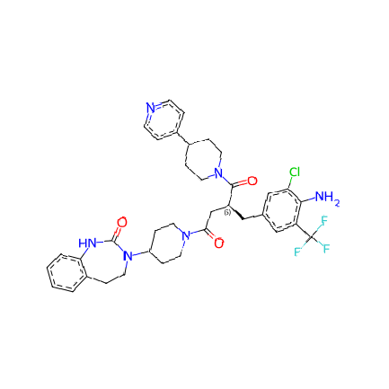 Nc1c(Cl)cc(C[C@@H](CC(=O)N2CCC(N3CCc4ccccc4NC3=O)CC2)C(=O)N2CCC(c3ccncc3)CC2)cc1C(F)(F)F